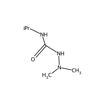 CC(C)NC(=O)NN(C)C